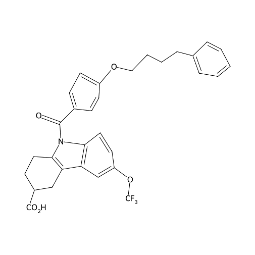 O=C(O)C1CCc2c(c3cc(OC(F)(F)F)ccc3n2C(=O)c2ccc(OCCCCc3ccccc3)cc2)C1